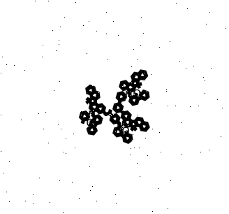 Cc1cccc(N(c2cc3c(c4ccc(CC(C)c5ccc(N(c6cc7c(c8ccc(-c9cccc(-c%10cccc(N(c%11cc%12c(c%13ccccc%11%13)-c%11ccc%13ccccc%13c%11C%12(C)C)c%11cccc%12c%11oc%11ccccc%11%12)c%10)c9)cc68)-c6ccc8ccccc8c6C7(C)C)c6cccc7c6oc6ccccc67)cc5)cc24)-c2ccc4ccccc4c2C3(C)C)c2cccc3c2oc2ccccc23)c1